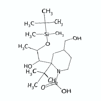 CC(O[Si](C)(C)C(C)(C)C)C(O)C1(C(C)(C)C)CC(CO)CCN1C(=O)O